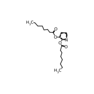 CCCCCCCC(=O)Oc1cccnc1OC(=O)CCCCCCC